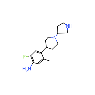 Cc1cc(N)c(F)cc1C1CCN(C2CCNC2)CC1